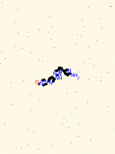 Nc1ccc(-c2ccc3cnc(Nc4ccc(N5CCN(C=O)CC5)nc4)nn23)cn1